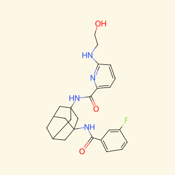 O=C(NC12CC3CC(C1)CC(NC(=O)c1cccc(NCCO)n1)(C3)C2)c1cccc(F)c1